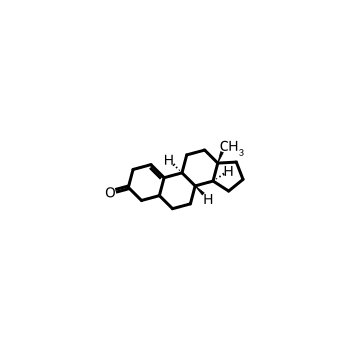 C[C@@]12CCC[C@H]1[C@@H]1CCC3CC(=O)CC=C3[C@H]1CC2